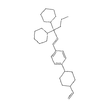 C=CC1CCC(c2ccc(C=CC(CCC)(C3CCCCC3)C3CCCCC3)cc2)CC1